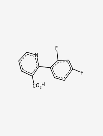 O=C(O)c1cccnc1-c1ccc(F)cc1F